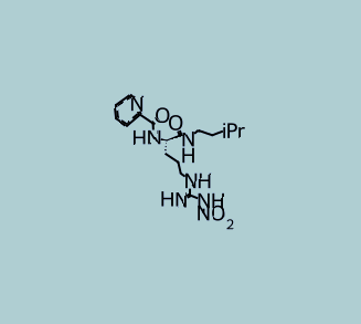 CC(C)CCNC(=O)[C@H](CCCNC(=N)N[N+](=O)[O-])NC(=O)c1ccccn1